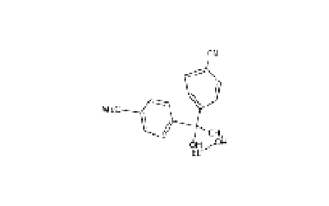 CCO.COc1ccc(C(C)(O)c2ccc(C#N)cc2)cc1